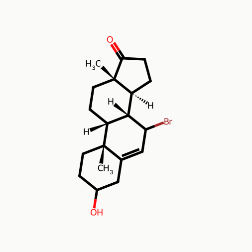 C[C@]12CCC(O)CC1=CC(Br)[C@@H]1[C@H]2CC[C@]2(C)C(=O)CC[C@@H]12